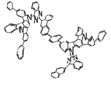 c1ccc(-c2ccc3c(c2)c2c4c5ccccc5n5c6cc(-c7ccccc7)ccc6c(cc2n3-c2nc(-c3cc6ccc(-c7ccc(-c8ccc9c(c8)c8c%10c%11ccccc%11n%11c%12cc(-c%13ccccc%13)ccc%12c(cc8n9-c8nc(-c9ccc%12ccccc%12c9)c9ccccc9n8)c%10%11)cc7)cc6c6ccccc36)nc3ccccc23)c45)cc1